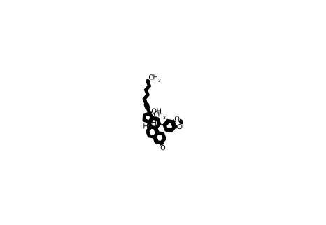 CCCCCCC#C[C@@]1(O)CC[C@H]2[C@@H]3CCC4=CC(=O)CCC4=C3[C@@H](c3ccc4c(c3)OCO4)C[C@@]21C